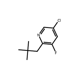 CC(C)(C)Cc1ncc(Cl)cc1F